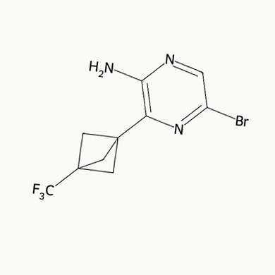 Nc1ncc(Br)nc1C12CC(C(F)(F)F)(C1)C2